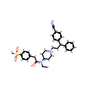 CCN(C(=O)Cc1ccc(S(C)(=O)=O)cc1)C1CCN(CCC(c2ccccc2)c2ccc(C#N)cc2)CC1